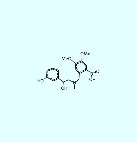 COc1cc(CN(C)CC(O)c2cccc(O)c2)c([N+](=O)O)cc1OC